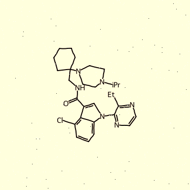 CCc1nccnc1-n1cc(C(=O)NCC2(N3CCN(C(C)C)CC3)CCCCC2)c2c(Cl)cccc21